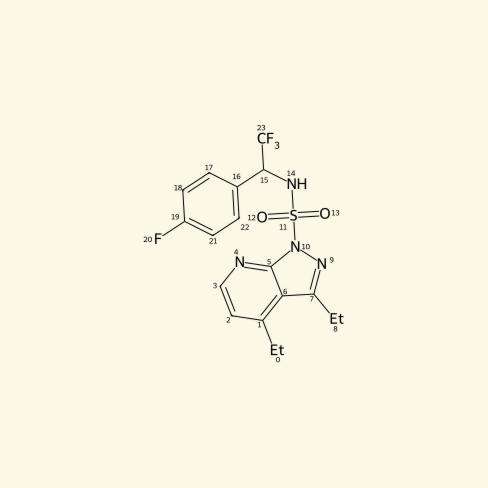 CCc1ccnc2c1c(CC)nn2S(=O)(=O)NC(c1ccc(F)cc1)C(F)(F)F